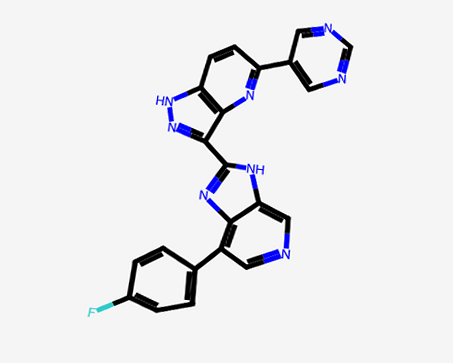 Fc1ccc(-c2cncc3[nH]c(-c4n[nH]c5ccc(-c6cncnc6)nc45)nc23)cc1